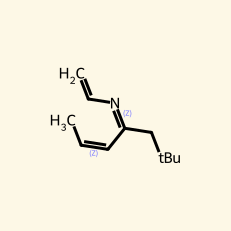 C=C/N=C(\C=C/C)CC(C)(C)C